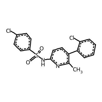 Cc1nc(NS(=O)(=O)c2ccc(Cl)cc2)ccc1-c1ccccc1Cl